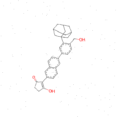 O=C1CCC(O)=C1c1ccc2cc(-c3ccc(CO)c(C45CC6CC(CC(C6)C4)C5)c3)ccc2c1